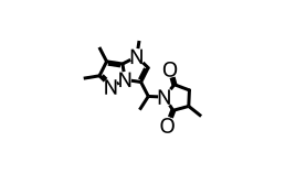 Cc1nn2c(C(C)N3C(=O)CC(C)C3=O)cn(C)c2c1C